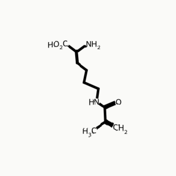 C=C(C)C(=O)NCCCCC(N)C(=O)O